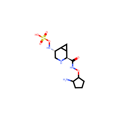 NC1CCCC1ONC(=O)[C@H]1NC[C@H](NOS(=O)(=O)O)C2CC21